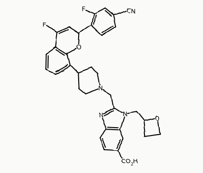 N#Cc1ccc(C2C=C(F)c3cccc(C4CCN(Cc5nc6ccc(C(=O)O)cc6n5CC5CCO5)CC4)c3O2)c(F)c1